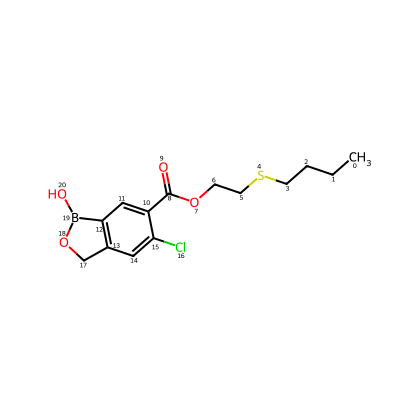 CCCCSCCOC(=O)c1cc2c(cc1Cl)COB2O